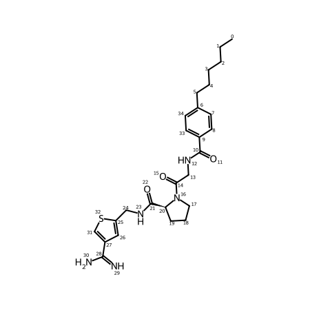 CCCCCCc1ccc(C(=O)NCC(=O)N2CCC[C@H]2C(=O)NCc2cc(C(=N)N)cs2)cc1